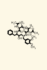 COc1ccc(CN(CC(O)C(Cc2ccccc2)NC(=O)[C@@H](NC(C)=O)C(C)C)NC(=O)[C@@H](NC(C)=O)C(C)C)cc1OC